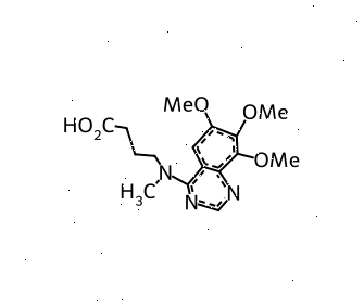 COc1cc2c(N(C)CCCC(=O)O)ncnc2c(OC)c1OC